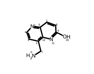 NCc1ccnc2ccc(O)nc12